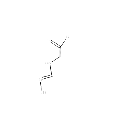 NC(=O)CNC=NO